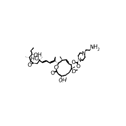 CC[C@H](O)[C@@H](C)[C@H]1O[C@@H]1C[C@@](C)(O)/C=C/C=C(\C)[C@H]1OC(=O)C[C@H](O)CC[C@@](C)(OC)[C@@H](OC(=O)N2CCN(CCN)CC2)/C=C/[C@@H]1C